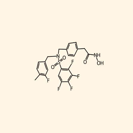 Cc1ccc(CN(Cc2ccc(CC(=O)NO)cc2)S(=O)(=O)c2cc(F)c(F)c(F)c2F)cc1F